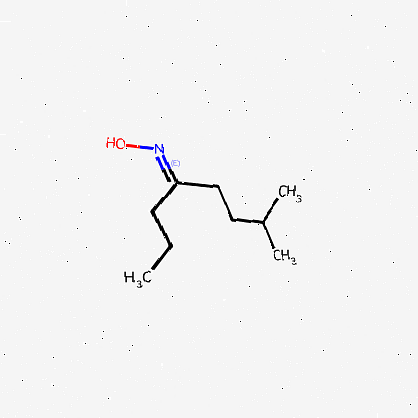 CCC/C(CCC(C)C)=N\O